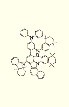 CC1(C)CCC(C)(C)c2cc(N3B4c5cc6c(cc5-n5c7c4c(cc(N4c8ccccc8C8(C)CCCCC48C)c7c4ccc7ccccc7c45)-c4ccc(N(c5ccccc5)c5ccccc5)cc43)C(C)(C)CCC6(C)C)ccc21